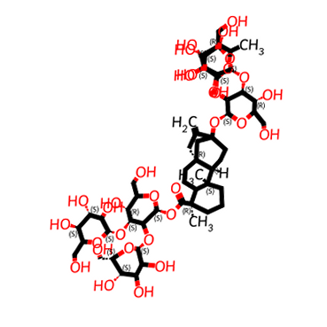 C=C1C[C@@]23CCC4[C@](C)(C(=O)O[C@@H]5OC(CO)[C@@H](O)[C@H](O[C@@H]6OC(CO)[C@@H](O)[C@H](O)C6O)C5O[C@@H]5O[C@@H](CO)[C@@H](O)C(O)C5O)CCC[C@@]4(C)[C@@H]2CCC1(O[C@@H]1OC(CO)[C@@H](O)[C@H](O[C@@H]2OC(CO)[C@@H](O)[C@H](O)C2O)C1O[C@@H]1OC(C)[C@H](O)[C@H](O)C1O)C3